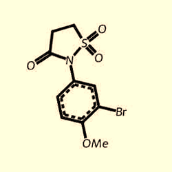 COc1ccc(N2C(=O)CCS2(=O)=O)cc1Br